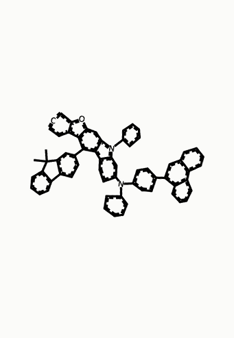 CC1(C)c2ccccc2-c2ccc(-c3c4c(cc5c3c3ccc(N(c6ccccc6)c6ccc(-c7cc8ccccc8c8ccccc78)cc6)cc3n5-c3ccccc3)oc3ccccc34)cc21